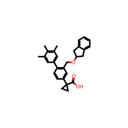 Cc1cc(-c2ccc(C3(C(=O)O)CC3)cc2COC2Cc3ccccc3C2)cc(C)c1C